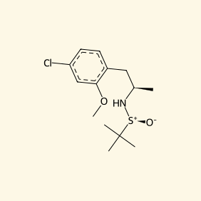 COc1cc(Cl)ccc1C[C@@H](C)N[S@@+]([O-])C(C)(C)C